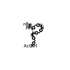 CCCCOC(=O)Nc1cc(Cc2ccc(N=C=Nc3ccc(Cc4ccc(N=C=Nc5ccc(Cc6ccc(NOC(C)=O)cc6)cc5)cc4)cc3)cc2)ccc1C